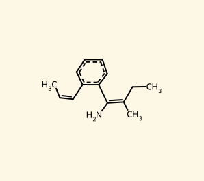 C/C=C\c1ccccc1/C(N)=C(/C)CC